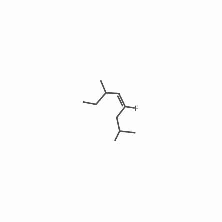 CCC(C)/C=C(/F)CC(C)C